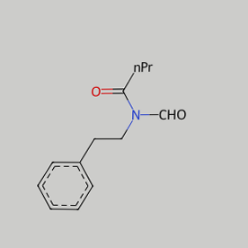 CCCC(=O)N(C=O)CCc1ccccc1